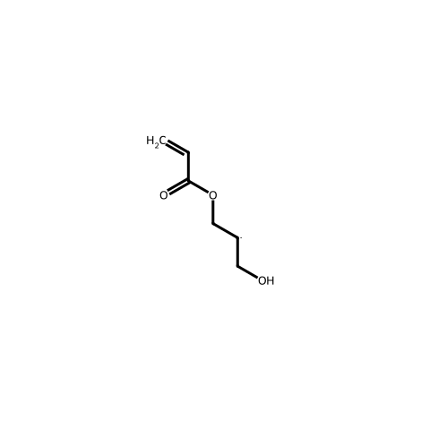 C=CC(=O)OC[CH]CO